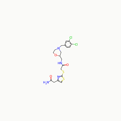 NC(=O)Cc1csc(SCC(=O)NCC2CN(Cc3ccc(Cl)c(Cl)c3)CCO2)n1